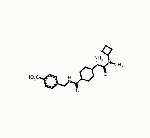 CN(C(=O)[C@@H](N)C1CCC(C(=O)NCc2ccc(C(=O)O)cc2)CC1)C1CCC1